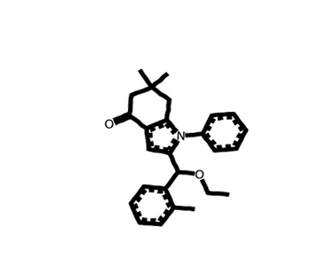 CCOC(c1ccccc1C)c1cc2c(n1-c1ccccc1)CC(C)(C)CC2=O